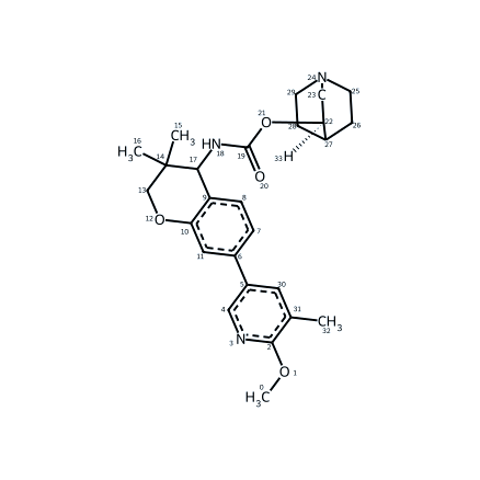 COc1ncc(-c2ccc3c(c2)OCC(C)(C)C3NC(=O)O[C@H]2CN3CCC2CC3)cc1C